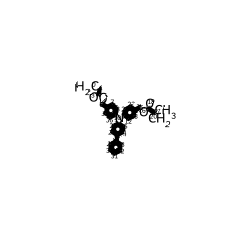 C=CC(=O)OCc1ccc(N(c2ccc(COC(=O)C(=C)C)cc2)c2ccc(-c3ccccc3)cc2)cc1